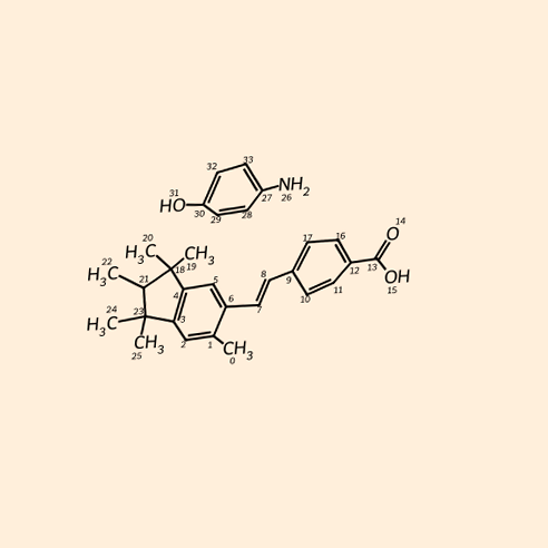 Cc1cc2c(cc1C=Cc1ccc(C(=O)O)cc1)C(C)(C)C(C)C2(C)C.Nc1ccc(O)cc1